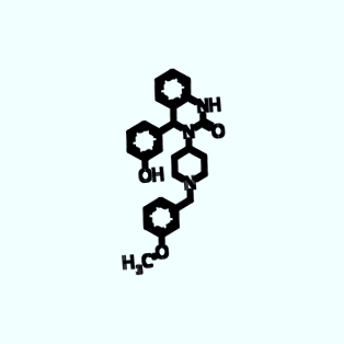 COc1cccc(CN2CCC(N3C(=O)Nc4ccccc4C3c3cccc(O)c3)CC2)c1